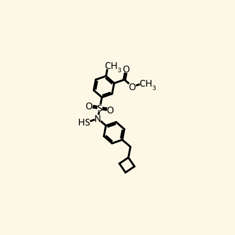 COC(=O)c1cc(S(=O)(=O)N(S)c2ccc(CC3CCC3)cc2)ccc1C